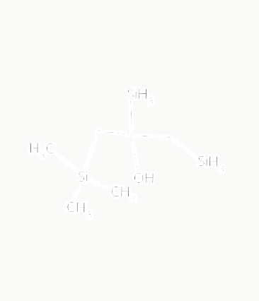 C[Si](C)(C)CC(O)([SiH3])C[SiH3]